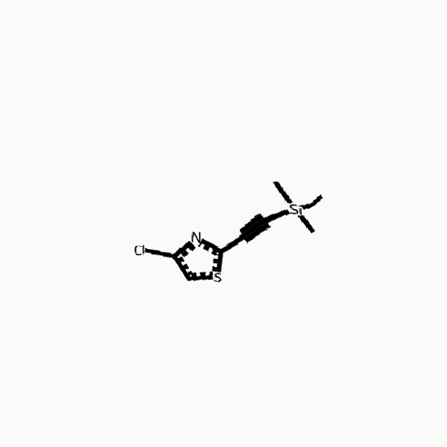 C[Si](C)(C)C#Cc1nc(Cl)cs1